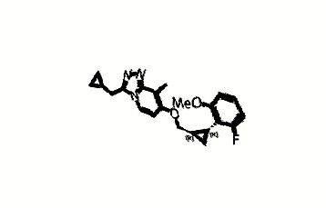 COc1cccc(F)c1[C@@H]1C[C@H]1COc1ccn2c(CC3CC3)nnc2c1C